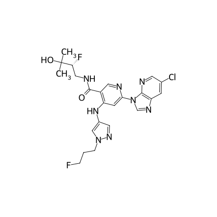 CC(C)(O)[C@H](F)CNC(=O)c1cnc(-n2cnc3cc(Cl)cnc32)cc1Nc1cnn(CCCF)c1